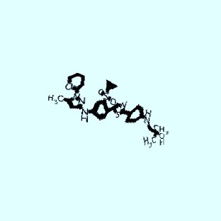 Cc1cc(Nc2ccc(-c3cnc(C4CCC(NCC(C)(C)O)CC4)s3)c(S(=O)(=O)C3CC3)c2)nn1C1CCCCO1